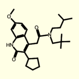 COc1ccc2c(CC(=O)N(CCC(C)C)CC(C)(C)C)c(C3CCCC3)c(=O)[nH]c2c1